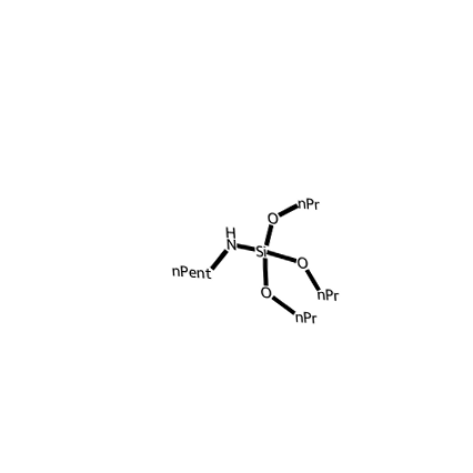 CCCCCN[Si](OCCC)(OCCC)OCCC